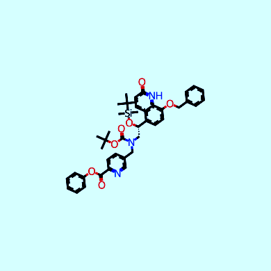 CC(C)(C)OC(=O)N(Cc1ccc(C(=O)Oc2ccccc2)nc1)C[C@H](O[Si](C)(C)C(C)(C)C)c1ccc(OCc2ccccc2)c2[nH]c(=O)ccc12